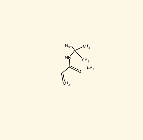 C=CC(=O)NC(C)(C)C.N